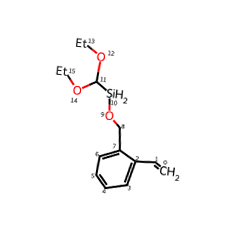 C=Cc1ccccc1CO[SiH2]C(OCC)OCC